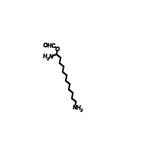 NCCCCCCCCCCCC(N)OC=O